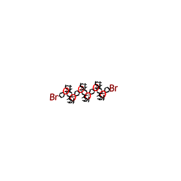 CC[Si](CC)(CC)OC1(c2ccc(Br)cc2)C=CC(O[Si](CC)(CC)CC)(c2ccc([C@]3(O[Si](CC)(CC)CC)C=C[C@](O[Si](CC)(CC)CC)(c4ccc(C5(O[Si](CC)(CC)CC)C=CC(O[Si](CC)(CC)CC)(c6ccc(Br)cc6)C=C5)cc4)C=C3)cc2)C=C1